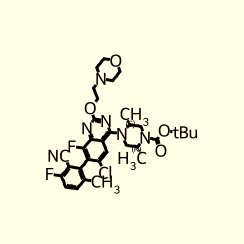 Cc1ccc(F)c(C#N)c1-c1c(Cl)cc2c(N3C[C@@H](C)N(C(=O)OC(C)(C)C)C[C@@H]3C)nc(OCCN3CCOCC3)nc2c1F